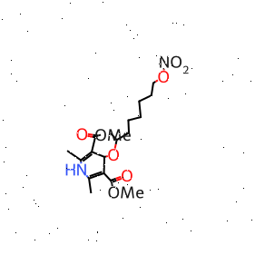 COC(=O)C1=C(C)NC(C)=C(C(=O)OC)C1OC(C)CCCCCCO[N+](=O)[O-]